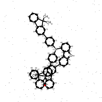 CC1(C)c2ccccc2-c2ccc(-c3ccc(N(c4ccc(-c5ccc6c(c5)C(C)(C)c5ccccc5-6)cc4)c4cccc5oc6ccc(-c7ccc8c(c7)c7ccccc7n8-c7ccccc7)cc6c45)cc3)cc21